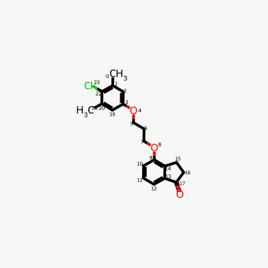 Cc1cc(OCCCOc2cccc3c2CCC3=O)cc(C)c1Cl